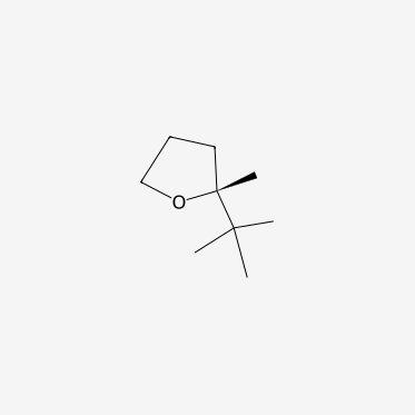 CC(C)(C)[C@@]1(C)CCCO1